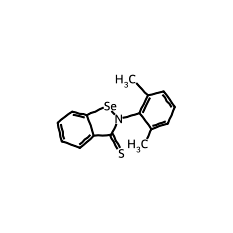 Cc1cccc(C)c1-n1[se]c2ccccc2c1=S